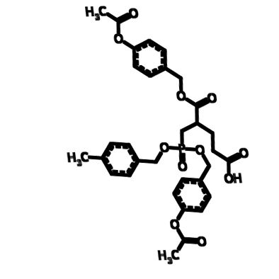 CC(=O)Oc1ccc(COC(=O)C(CCC(=O)O)CP(=O)(OCc2ccc(C)cc2)OCc2ccc(OC(C)=O)cc2)cc1